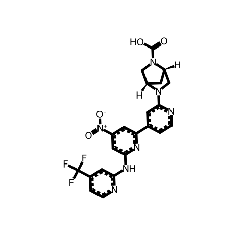 O=C(O)N1C[C@@H]2C[C@H]1CN2c1cc(-c2cc([N+](=O)[O-])cc(Nc3cc(C(F)(F)F)ccn3)n2)ccn1